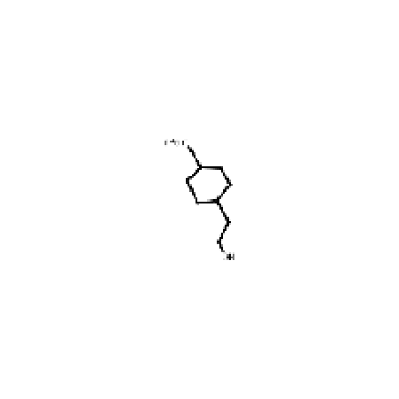 CCCCCC1CCC(CCO)CC1